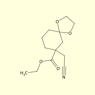 CCOC(=O)C1(CC#N)CCCC2(C1)OCCO2